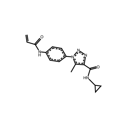 C=CC(=O)Nc1ccc(-n2nnc(C(=O)NC3CC3)c2C)cc1